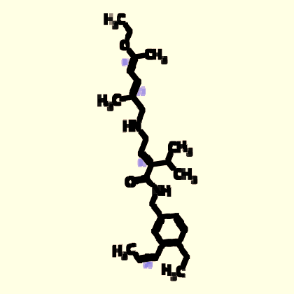 C/C=C\c1cc(CNC(=O)/C(=C/CNC/C(C)=C/C=C(\C)OCC)C(C)C)ccc1CC